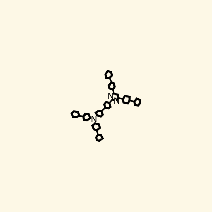 c1ccc(-c2ccc(-c3cc(-c4ccc(-c5ccccc5)cc4)nc(-c4ccc(-c5ccc(N(c6ccc(-c7ccccc7)cc6)c6ccc(-c7ccccc7)cc6)cc5)cc4)n3)cc2)cc1